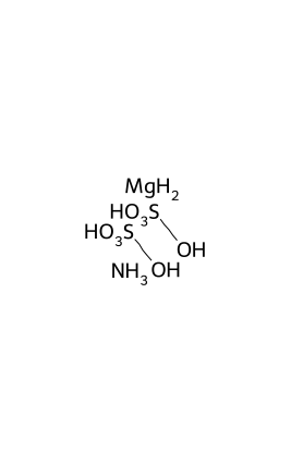 N.O=S(=O)(O)O.O=S(=O)(O)O.[MgH2]